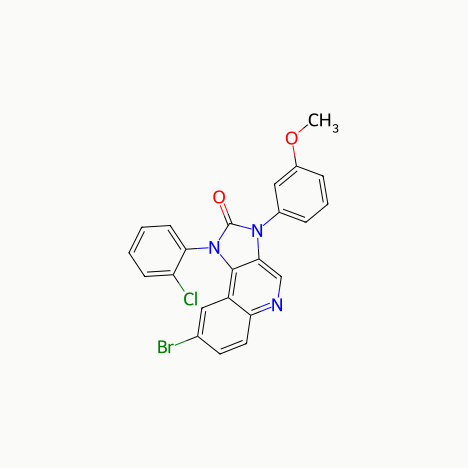 COc1cccc(-n2c(=O)n(-c3ccccc3Cl)c3c4cc(Br)ccc4ncc32)c1